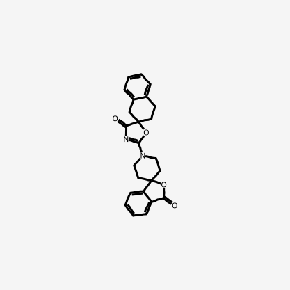 O=C1OC2(CCN(C3=NC(=O)C4(CCc5ccccc5C4)O3)CC2)c2ccccc21